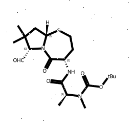 C[C@@H](C(=O)N[C@H]1CCS[C@H]2CC(C)(C)[C@@H](C=O)N2C1=O)N(C)C(=O)OC(C)(C)C